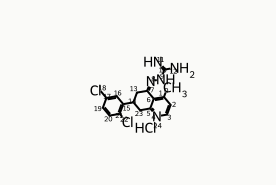 Cc1ccnc2c1/C(=N\NC(=N)N)CC(c1cc(Cl)ccc1Cl)C2.Cl